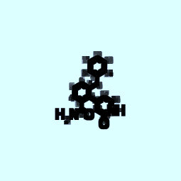 NC(=O)c1cccc(Cc2ccccc2)c1-c1cc[nH]c(=O)c1